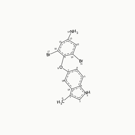 Cc1c[nH]c2ccc(Oc3c(Br)cc(N)cc3Br)cc12